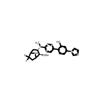 CO[C@H]1C2CC(F)(F)C(C[C@@H]1N(C)c1ncc(-c3ccc(-n4ccnc4)cc3O)nn1)N2